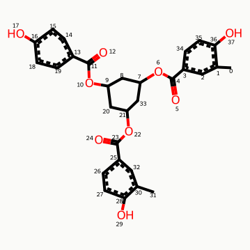 Cc1cc(C(=O)OC2CC(OC(=O)c3ccc(O)cc3)CC(OC(=O)c3ccc(O)c(C)c3)C2)ccc1O